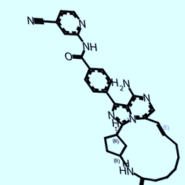 N#Cc1ccnc(NC(=O)c2ccc(-c3nc4n5c(cnc(N)c35)/C=C/CCCCCC(=O)N[C@@H]3CC[C@@H]4C3)cc2)c1